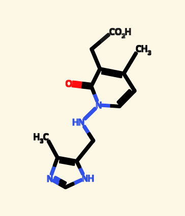 Cc1ccn(NCc2[nH]cnc2C)c(=O)c1CC(=O)O